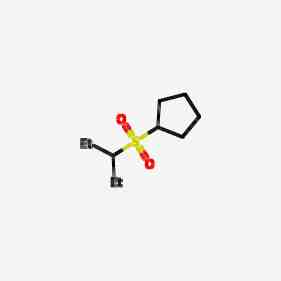 CCC(CC)S(=O)(=O)C1CCCC1